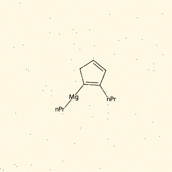 CC[CH2][Mg][C]1=C(CCC)C=CC1